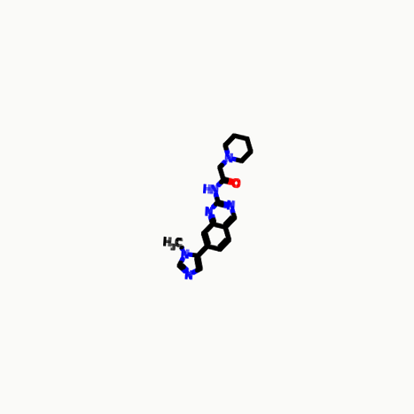 Cn1cncc1-c1ccc2cnc(NC(=O)CN3CCCCC3)nc2c1